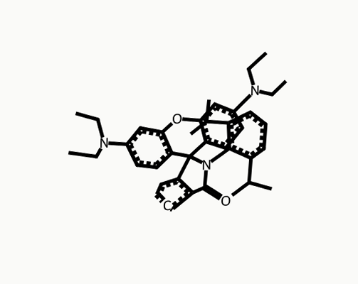 CCN(CC)c1ccc2c(c1)Oc1cc(N(CC)CC)ccc1C21c2ccccc2C(=O)N1c1c(C(C)C)cccc1C(C)C